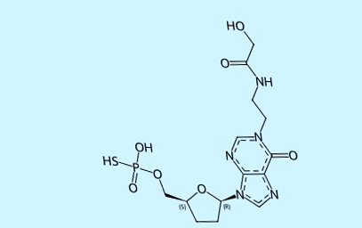 O=C(CO)NCCn1cnc2c(ncn2[C@H]2CC[C@@H](COP(=O)(O)S)O2)c1=O